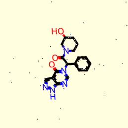 O=C(C(c1ccccc1)n1cnc2[nH]ncc2c1=O)N1CCCC(O)C1